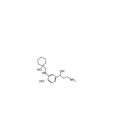 Cl.NCCC(O)c1cccc(NCC2(O)CCCCC2)c1